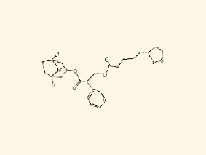 CN1[C@@H]2CC[C@H]1CC(OC(=O)C(COC(=O)CCCC[C@@H]1CCSS1)c1ccccc1)C2